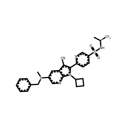 C[C@H](NS(=O)(=O)c1ccc(-c2c(C#N)c3cc(N(C)Cc4ccccc4)cnc3n2C2CCC2)nc1)C(F)(F)F